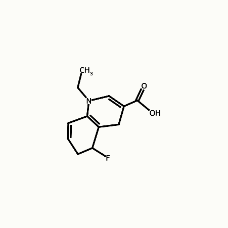 CCN1C=C(C(=O)O)CC2=C1C=CCC2F